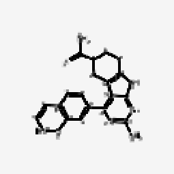 NC(=O)C1CCc2[nH]c3nc(N)nc(-c4ccc5c(c4)ONC=C5)c3c2C1